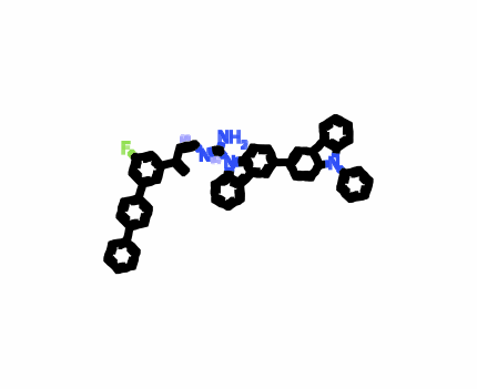 C=C(/C=C\N=C(/N)n1c2ccccc2c2cc(C3=CC4c5ccccc5N(c5ccccc5)C4C=C3)ccc21)c1cc(F)cc(-c2ccc(-c3ccccc3)cc2)c1